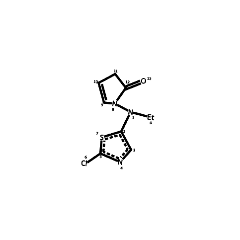 CCN(c1cnc(Cl)s1)N1C=CCC1=O